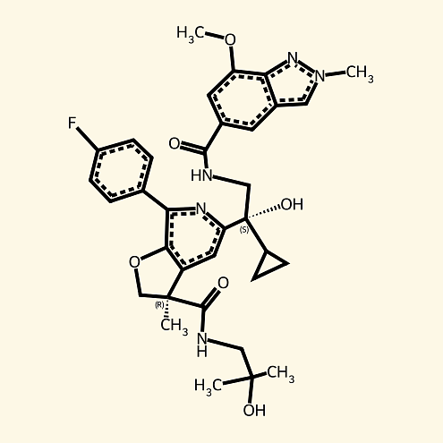 COc1cc(C(=O)NC[C@](O)(c2cc3c(c(-c4ccc(F)cc4)n2)OC[C@]3(C)C(=O)NCC(C)(C)O)C2CC2)cc2cn(C)nc12